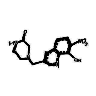 O=C1CN(Cc2cnc3c(O)c([N+](=O)[O-])ccc3c2)CCN1